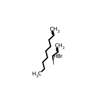 Br.C=CCCCCCCC.C=CCI